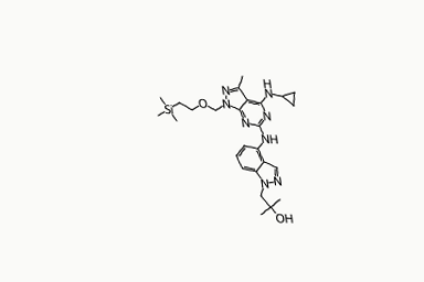 Cc1nn(COCC[Si](C)(C)C)c2nc(Nc3cccc4c3cnn4CC(C)(C)O)nc(NC3CC3)c12